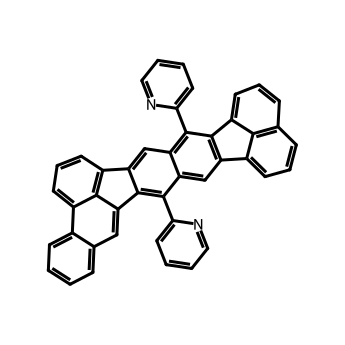 c1ccc(-c2c3cc4c5cccc6c7ccccc7cc(c4c(-c4ccccn4)c3cc3c4cccc7cccc(c23)c74)c65)nc1